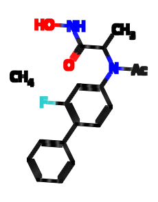 C.CC(=O)N(c1ccc(-c2ccccc2)c(F)c1)C(C)C(=O)NO